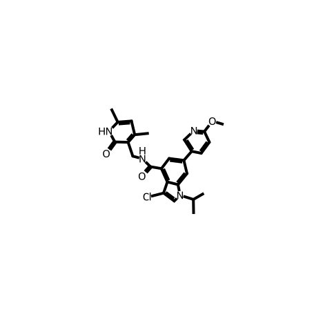 COc1ccc(-c2cc(C(=O)NCc3c(C)cc(C)[nH]c3=O)c3c(Cl)cn(C(C)C)c3c2)cn1